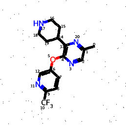 Cc1cnc(Oc2ccc(C(F)(F)F)nc2)c(C2CCNCC2)n1